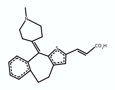 CN1CCC(=C2c3ccccc3CCc3cc(/C=C/C(=O)O)sc32)CC1